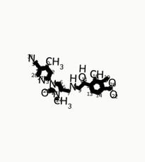 Cc1cc(-n2cc(CNCC(O)c3ccc4c(c3C)COC4=O)n(C)c2=O)ncc1C#N